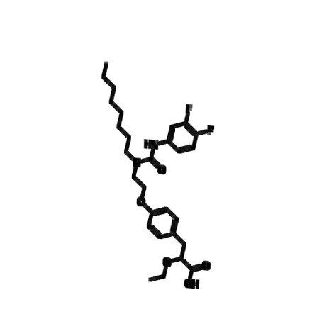 CCCCCCCCN(CCOc1ccc(CC(OCC)C(=O)O)cc1)C(=O)Nc1ccc(F)c(F)c1